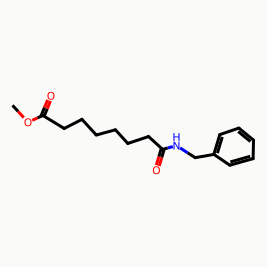 COC(=O)CCCCCCC(=O)NCc1ccccc1